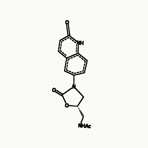 CC(=O)NC[C@H]1CN(c2ccc3[nH]c(=O)ccc3c2)C(=O)O1